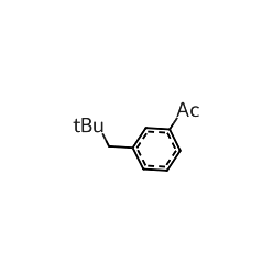 CC(=O)c1cccc(CC(C)(C)C)c1